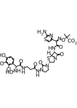 CC(C)(O/N=C(\C(=O)N[C@@H]1C(=O)N2C[C@H](N3CCN(NC(=O)CCNC(=O)C(NO)c4ccc(O)c(O)c4Cl)C3=O)S[C@H]12)c1csc(N)n1)C(=O)O